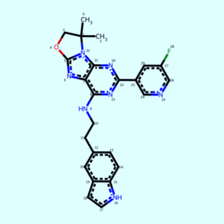 CC1(C)COc2nc3c(NCCc4ccc5[nH]ccc5c4)nc(-c4cncc(F)c4)nc3n21